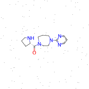 O=C([C@@H]1CCCN1)N1CCCN(c2ncccn2)CC1